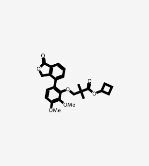 COc1ccc(-c2cccc3c2COC3=O)c(OCC(C)(C)C(=O)OC2CCC2)c1OC